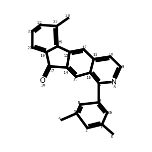 Cc1cc(C)cc(-c2nccc3cc4c(cc23)C(=O)c2cccc(C)c2-4)c1